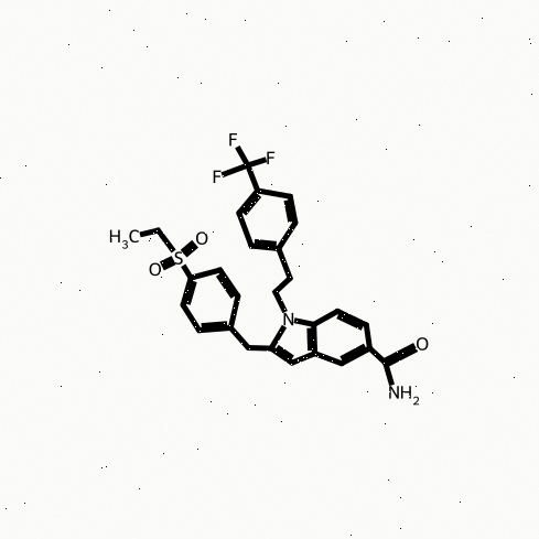 CCS(=O)(=O)c1ccc(Cc2cc3cc(C(N)=O)ccc3n2CCc2ccc(C(F)(F)F)cc2)cc1